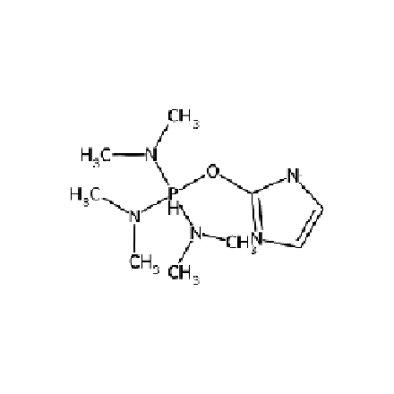 CN(C)[PH](OC1=NC=C[N]1)(N(C)C)N(C)C